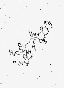 CC(Nc1nc(N)ncc1Cl)C(C)(C)CCCC(Nc1nc(N)ncc1F)C(C)(C)C